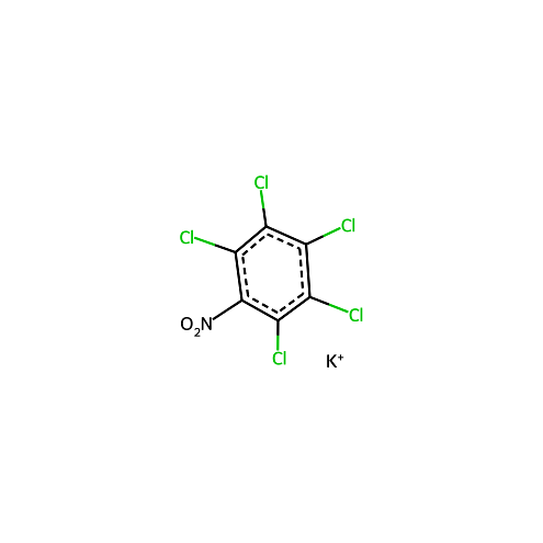 O=[N+]([O-])c1c(Cl)c(Cl)c(Cl)c(Cl)c1Cl.[K+]